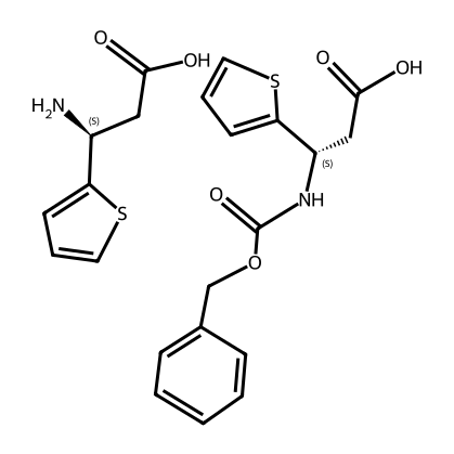 N[C@@H](CC(=O)O)c1cccs1.O=C(O)C[C@H](NC(=O)OCc1ccccc1)c1cccs1